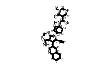 C#Cc1c(-c2cnc3ccccc3c2)c2c(N)ncnc2n1C12CCC(NC(=O)c3cncn(C)c3=O)(CC1)C2